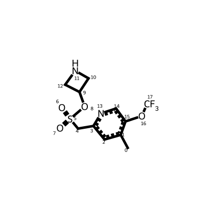 Cc1cc(CS(=O)(=O)OC2CNC2)ncc1OC(F)(F)F